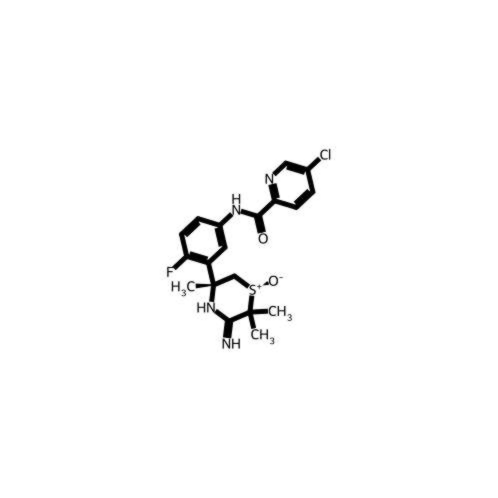 CC1(C)C(=N)N[C@](C)(c2cc(NC(=O)c3ccc(Cl)cn3)ccc2F)C[S@+]1[O-]